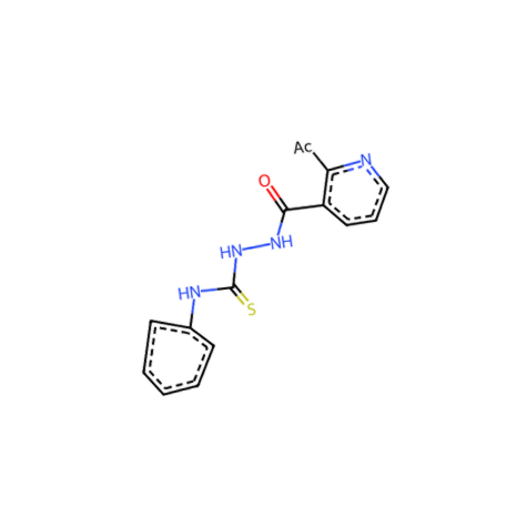 CC(=O)c1ncccc1C(=O)NNC(=S)Nc1ccccc1